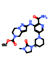 CN1CCN([C@@H]2CCCN(c3cnc(C(N)=O)c(Nc4cc5n(n4)CCN(C(=O)OC(C)(C)C)C5)c3)C2)C1=O